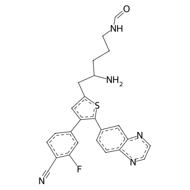 N#Cc1ccc(-c2cc(CC(N)CCCNC=O)sc2-c2ccc3nccnc3c2)cc1F